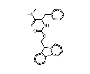 CN(C)C(=O)C(Cc1ccccc1)NC(=O)OCC1c2ccccc2-c2ccccc21